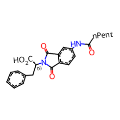 CCCCCC(=O)Nc1ccc2c(c1)C(=O)N([C@@H](Cc1ccccc1)C(=O)O)C2=O